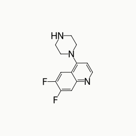 Fc1cc2nccc(N3CCNCC3)c2cc1F